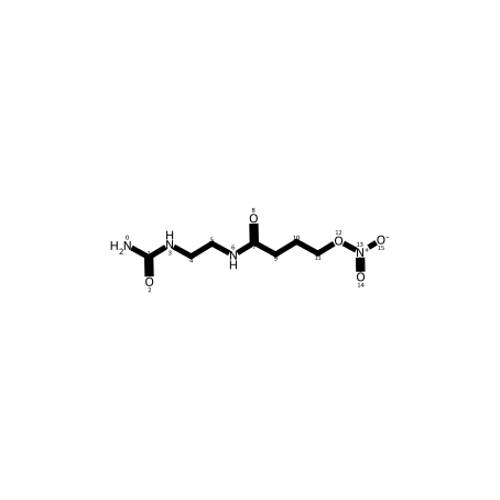 NC(=O)NCCNC(=O)CCCO[N+](=O)[O-]